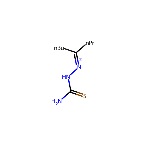 CCCC/C(CCC)=N\NC(N)=S